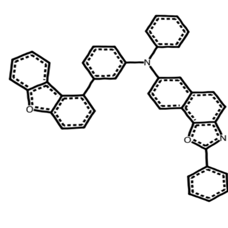 c1ccc(-c2nc3ccc4cc(N(c5ccccc5)c5cccc(-c6cccc7oc8ccccc8c67)c5)ccc4c3o2)cc1